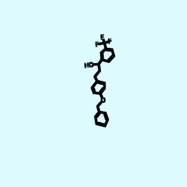 OC(CCc1ccc(OCc2ccccc2)cc1)c1cccc(C(F)(F)F)c1